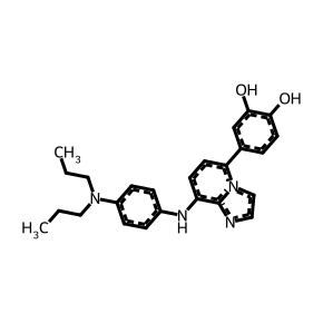 CCCN(CCC)c1ccc(Nc2ccc(-c3ccc(O)c(O)c3)n3ccnc23)cc1